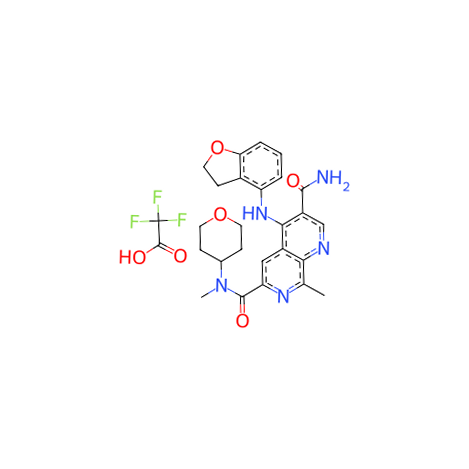 Cc1nc(C(=O)N(C)C2CCOCC2)cc2c(Nc3cccc4c3CCO4)c(C(N)=O)cnc12.O=C(O)C(F)(F)F